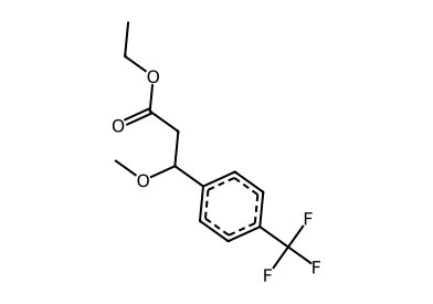 CCOC(=O)CC(OC)c1ccc(C(F)(F)F)cc1